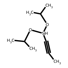 CC#C[SiH](OC(C)C)OC(C)C